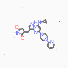 O=C1C/C(=C\c2cnn3c(NC4CC4)cc(N4CCN(c5ccccn5)CC4)nc23)C(=O)N1